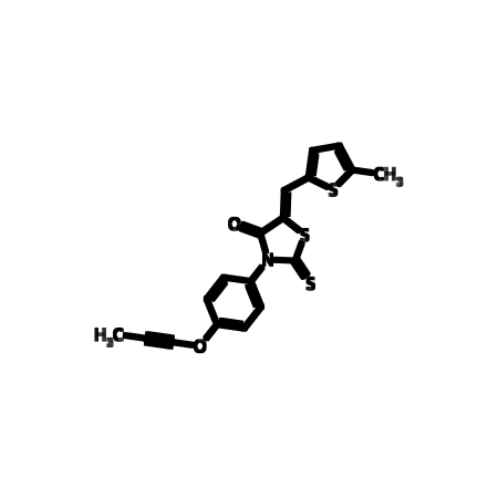 CC#COc1ccc(N2C(=O)/C(=C/c3ccc(C)s3)SC2=S)cc1